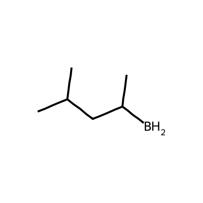 BC(C)CC(C)C